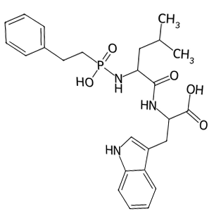 CC(C)CC(NP(=O)(O)CCc1ccccc1)C(=O)NC(Cc1c[nH]c2ccccc12)C(=O)O